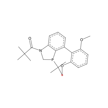 COc1cccc(OC)c1-c1cccc2c1P(C(C)(C)C)CN2C(=O)C(C)(C)C